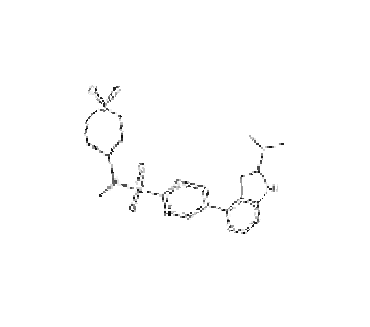 CC(C)C1Cc2c(-c3ccc(S(=O)(=O)N(C)C4CCS(=O)(=O)CC4)nc3)ccnc2N1